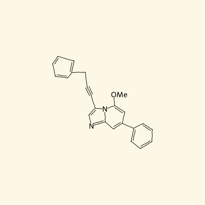 COc1cc(-c2ccccc2)cc2ncc(C#CCc3ccccc3)n12